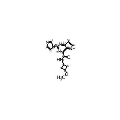 COC1CC(NC(=O)c2nc(-n3ccnc3)nc3cc[nH]c23)C1